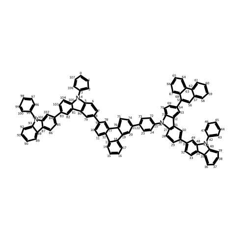 c1ccc(-n2c3ccc(-c4ccc5c6ccccc6c6cc(-c7ccc(-n8c9ccc(-c%10ccc%11c%12ccccc%12n(-c%12ccccc%12)c%11c%10)cc9c9cc(-c%10cc%11ccccc%11c%11ccccc%10%11)ccc98)cc7)ccc6c5c4)cc3c3cc(-c4ccc5c6ccccc6n(-c6ccccc6)c5c4)ccc32)cc1